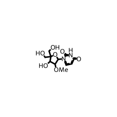 COC1C(n2ccc(=O)[nH]c2=O)OC(CO)(CO)C1O